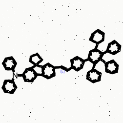 C1=CCC(c2cc(-c3ccc(/C=C/c4ccc5c(c4)C4(CCCC4)c4cc(N(c6ccccc6)c6ccccc6)ccc4-5)cc3)c(-c3ccccc3)c(-c3ccccc3)c2-c2ccccc2)C=C1